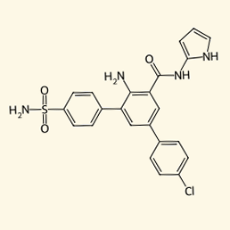 Nc1c(C(=O)Nc2ccc[nH]2)cc(-c2ccc(Cl)cc2)cc1-c1ccc(S(N)(=O)=O)cc1